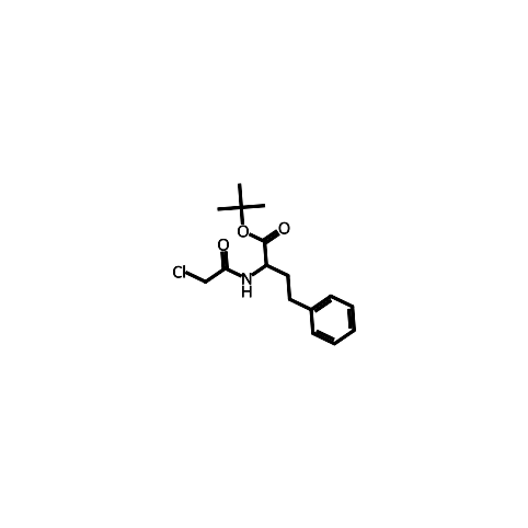 CC(C)(C)OC(=O)C(CCc1ccccc1)NC(=O)CCl